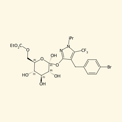 CCOC(=O)OC[C@H]1O[C@@](O)(Oc2nn(C(C)C)c(C(F)(F)F)c2Cc2ccc(Br)cc2)[C@H](O)[C@@H](O)[C@@H]1O